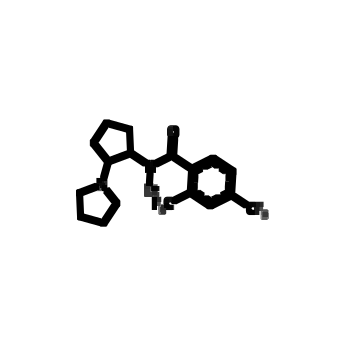 CCN(C(=O)c1ccc(C(F)(F)F)cc1C(F)(F)F)C1CCCC1N1CCCC1